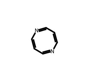 C1=C\N=C/C=C\N=C/1